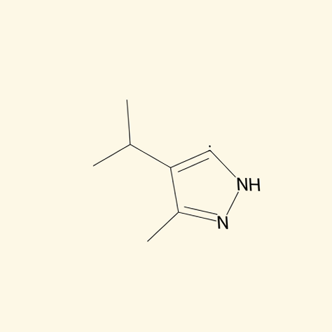 Cc1n[nH][c]c1C(C)C